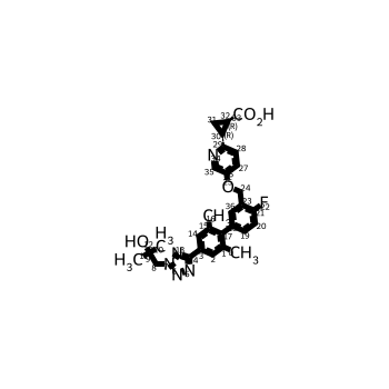 Cc1cc(-c2nnn(CC(C)(C)O)n2)cc(C)c1-c1ccc(F)c(COc2ccc([C@@H]3C[C@H]3C(=O)O)nc2)c1